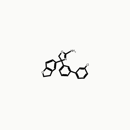 NC1=NC(c2cccc(-c3cccc(Cl)c3)c2)(c2ccc3c(c2)CCO3)CO1